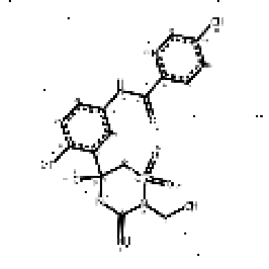 CCN1C(=N)N[C@](C)(c2cc(NC(=O)c3ccc(C)cn3)ccc2F)CS1(=O)=O